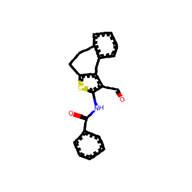 O=Cc1c(NC(=O)c2ccccc2)sc2c1-c1ccccc1CC2